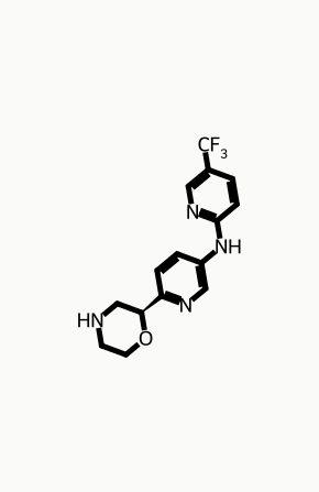 FC(F)(F)c1ccc(Nc2ccc([C@@H]3CNCCO3)nc2)nc1